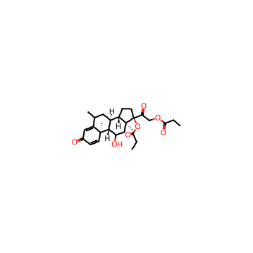 CCC(=O)OCC(=O)[C@@]1(OC(=O)CC)CC[C@H]2[C@@H]3CC(C)C4=CC(=O)C=C[C@]4(C)[C@H]3C(O)C[C@@]21C